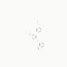 COCCCN1CCOc2ccc(COC3CNCC[C@@H]3c3ccc(COc4cccc5[nH]ccc45)cc3)cc21